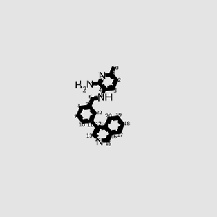 Cc1ccc(NCc2cccc(-c3cncc4ccccc34)c2)c(N)n1